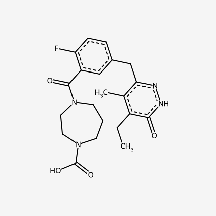 CCc1c(C)c(Cc2ccc(F)c(C(=O)N3CCCN(C(=O)O)CC3)c2)n[nH]c1=O